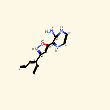 C=C/C=C(\C=C)c1cc(-c2nccnc2N)on1